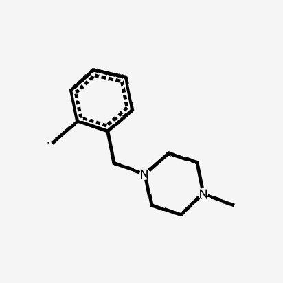 [CH2]c1ccccc1CN1CCN(C)CC1